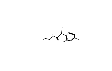 CCOC(=O)CCCC(=O)C(C#N)c1ccc(C)cc1C